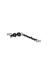 O=C(O)c1ccc(-c2ccc(OCCCCCCCCCCCCO)cc2)cc1